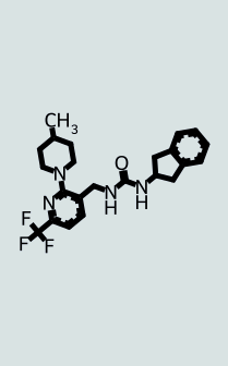 CC1CCN(c2nc(C(F)(F)F)ccc2CNC(=O)NC2Cc3ccccc3C2)CC1